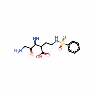 N=C(C(=O)CN)C(CCNS(=O)(=O)c1ccccc1)C(=O)O